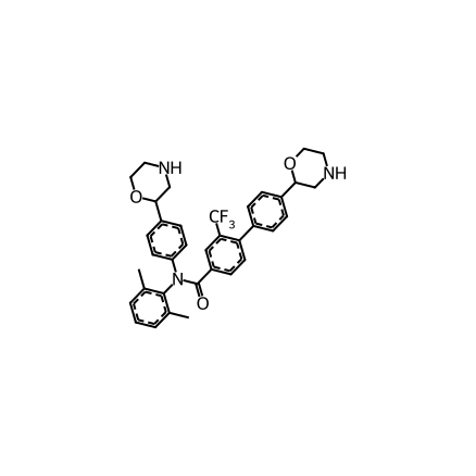 Cc1cccc(C)c1N(C(=O)c1ccc(-c2ccc(C3CNCCO3)cc2)c(C(F)(F)F)c1)c1ccc(C2CNCCO2)cc1